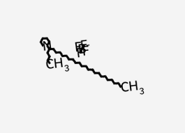 CCCCCCCCCCCCCCCCCCCCCCCC(CCCC)N1CCCCC1.F[B-](F)(F)F